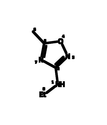 CCNc1noc(C)n1